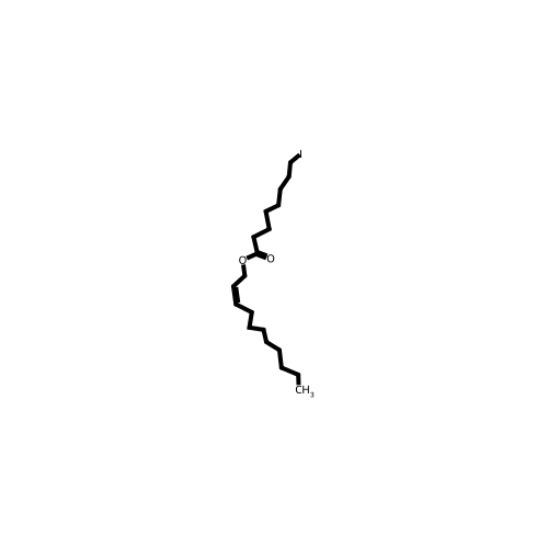 CCCCCCCC/C=C\COC(=O)CCCCCCCI